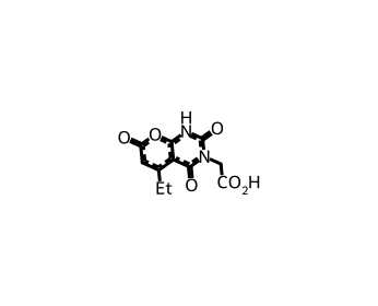 CCc1cc(=O)oc2[nH]c(=O)n(CC(=O)O)c(=O)c12